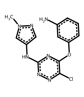 Cn1cc(Nc2nnc(Cl)c(Oc3cccc(N)c3)n2)cn1